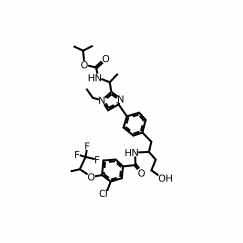 CCn1cc(-c2ccc(CC(CCO)NC(=O)c3ccc(OC(C)C(F)(F)F)c(Cl)c3)cc2)nc1C(C)NC(=O)OC(C)C